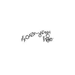 O=C(CCCN1CCN(c2ccc(C(F)(F)F)cc2)CC1)N1CC[C@@H](NC2=CC(C(F)(F)F)=C([N+](=O)[O-])CC2)C1